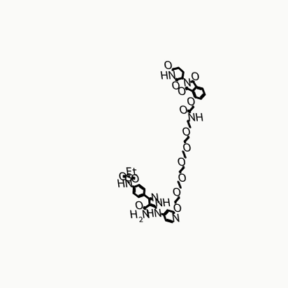 CCS(=O)(=O)Nc1ccc(-c2n[nH]c(Nc3ccnc(OCCOCCOCCOCCOCCOCCNC(=O)COc4cccc5c4C(=O)N(C4CCC(=O)NC4=O)C5=O)c3)c2C(N)=O)cc1